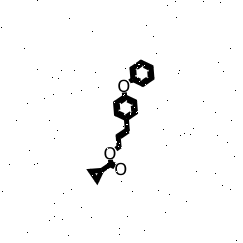 O=C(OCC=Cc1ccc(Oc2ccccc2)cc1)C1CC1